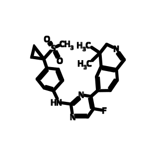 CC1(C)CN=Cc2ccc(-c3nc(Nc4ccc(C5(S(C)(=O)=O)CC5)cc4)ncc3F)cc21